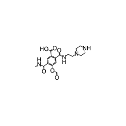 CNC(=O)c1cc(C(=O)O)c(C(=O)NCCN2CCNCC2)cc1OC=O